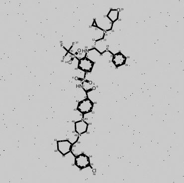 O=C(NS(=O)(=O)c1ccc(N[C@H](CCN(CC2CCOC2)C2CC2)CSc2ccccc2)c(S(=O)(=O)C(F)(F)F)c1)c1ccc(N2CCN(CC3=C(c4ccc(Cl)cc4)CCCC3)CC2)cc1